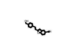 N#Cc1ccc2oc(C=Cc3ccc(CO)cc3)cc2c1